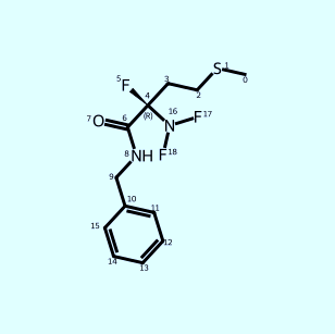 CSCC[C@@](F)(C(=O)NCc1ccccc1)N(F)F